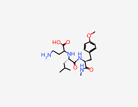 CNC(=O)[C@H](Cc1ccc(OC)cc1)NC(=O)[C@H](CC(C)C)NC(CCN)C(=O)O